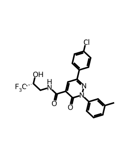 Cc1cccc(-n2nc(-c3ccc(Cl)cc3)cc(C(=O)NC[C@@H](O)C(F)(F)F)c2=O)c1